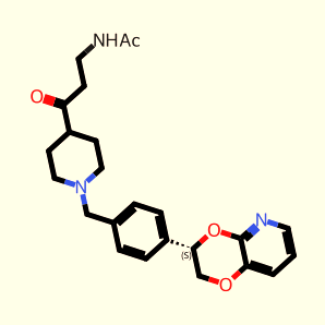 CC(=O)NCCC(=O)C1CCN(Cc2ccc([C@H]3COc4cccnc4O3)cc2)CC1